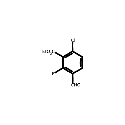 CCOC(=O)c1c(Cl)ccc(C=O)c1F